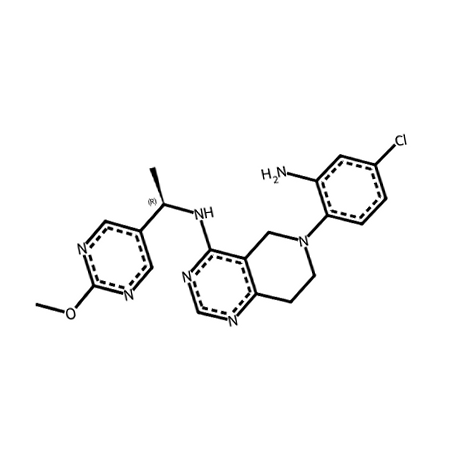 COc1ncc([C@@H](C)Nc2ncnc3c2CN(c2ccc(Cl)cc2N)CC3)cn1